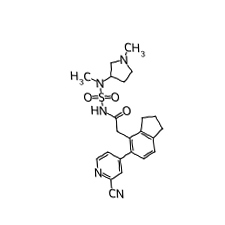 CN1CCC(N(C)S(=O)(=O)NC(=O)Cc2c(-c3ccnc(C#N)c3)ccc3c2CCC3)C1